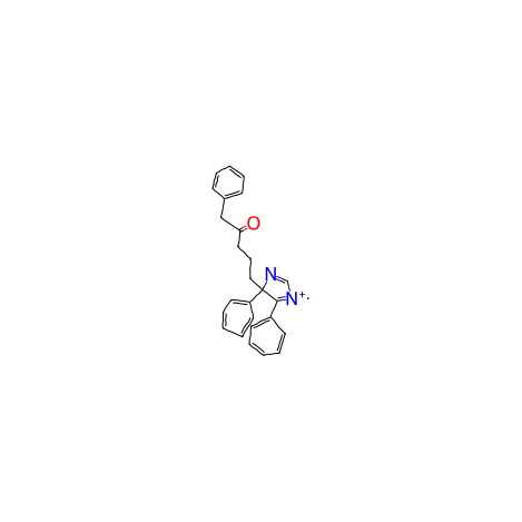 O=C(CCCC1(c2ccccc2)N=C[N+]=C1c1ccccc1)Cc1ccccc1